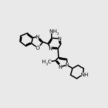 Cc1nn(C2CCNCC2)cc1-c1cnc(N)c(-c2nc3ccccc3o2)n1